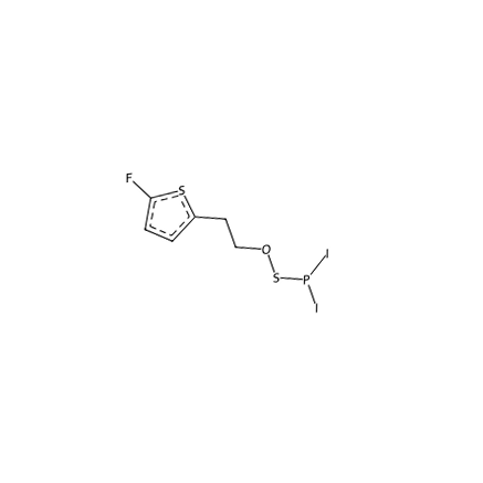 Fc1ccc(CCOSP(I)I)s1